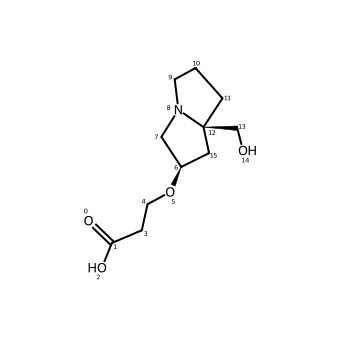 O=C(O)CCO[C@H]1CN2CCC[C@]2(CO)C1